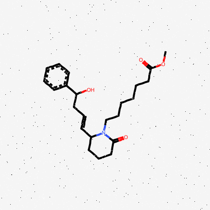 COC(=O)CCCCCCN1C(=O)CCCC1C=CCC(O)c1ccccc1